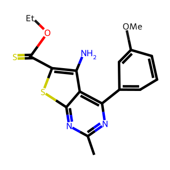 CCOC(=S)c1sc2nc(C)nc(-c3cccc(OC)c3)c2c1N